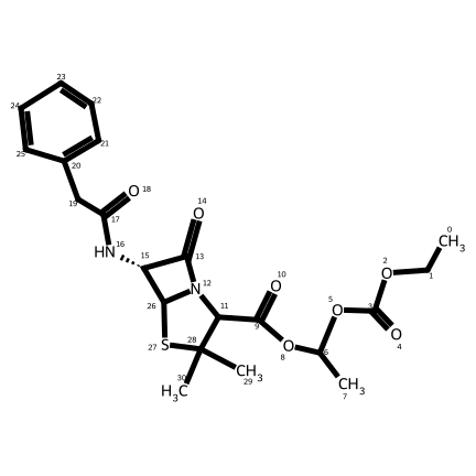 CCOC(=O)OC(C)OC(=O)C1N2C(=O)[C@@H](NC(=O)Cc3ccccc3)C2SC1(C)C